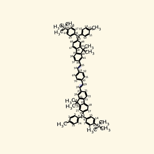 Cc1ccc(N(c2ccc([Si](C)(C)C)cc2)c2ccc3c(c2)C(C)(C)c2cc(/C=C/c4ccc(/C=C/c5ccc6c(c5)C(C)(C)c5cc(N(c7ccc(C)cc7)c7ccc([Si](C)(C)C)cc7)ccc5-6)cc4)ccc2-3)cc1